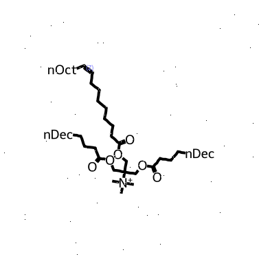 CCCCCCCC/C=C\CCCCCCCC(=O)OCC(COC(=O)CCCCCCCCCCCCC)(COC(=O)CCCCCCCCCCCCC)[N+](C)(C)C